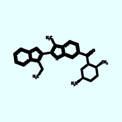 CCn1c(-c2nc3cc(C(=O)N4C[C@H](N)CC[C@@H]4C)ccc3n2C)cc2ccccc21